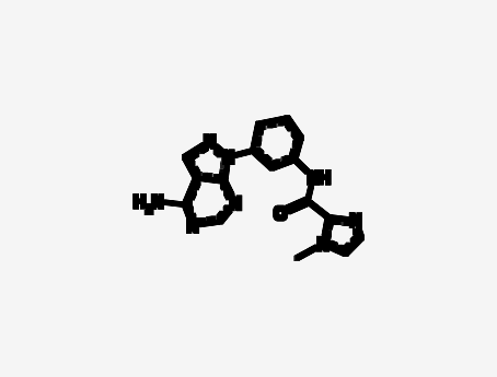 Cn1ccnc1C(=O)Nc1cccc(-n2ncc3c(N)ncnc32)c1